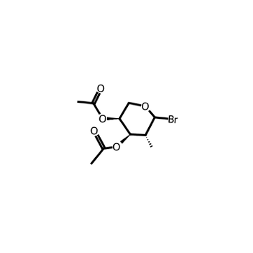 CC(=O)O[C@H]1[C@@H](OC(C)=O)COC(Br)[C@@H]1C